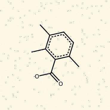 Cc1ccc(C)c(C([O])=O)c1C